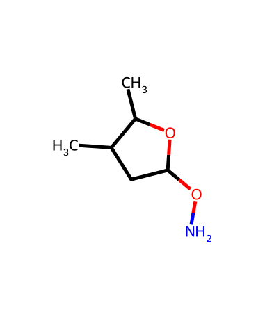 CC1CC(ON)OC1C